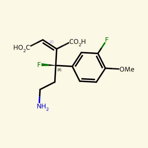 COc1ccc([C@](F)(CCN)/C(=C\C(=O)O)C(=O)O)cc1F